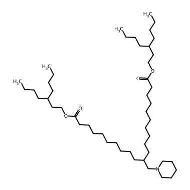 CCCCC(CCCC)CCOC(=O)CCCCCCCCCC(CCCCCCCCCC(=O)OCCC(CCCC)CCCC)CN1CCCCC1